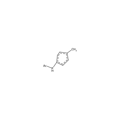 CC(=O)Pc1ccc(C)cc1